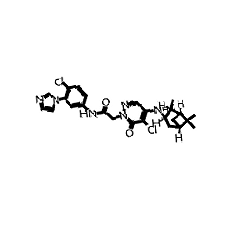 C[C@@H]1[C@H]2C[C@@H](C[C@H]1Nc1cnn(CC(=O)Nc3ccc(Cl)c(-n4ccnc4)c3)c(=O)c1Cl)C2(C)C